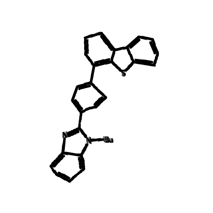 CCC(C)n1c(-c2ccc(-c3cccc4c3sc3ccccc34)cc2)nc2ccccc21